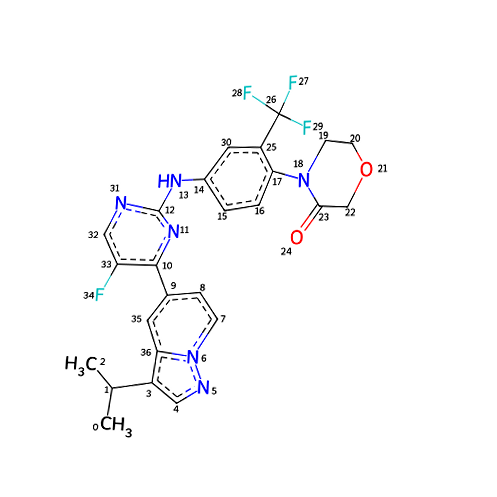 CC(C)c1cnn2ccc(-c3nc(Nc4ccc(N5CCOCC5=O)c(C(F)(F)F)c4)ncc3F)cc12